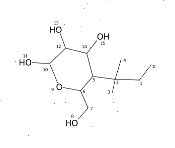 CCC(C)(C)C1C(CO)OC(O)C(O)C1O